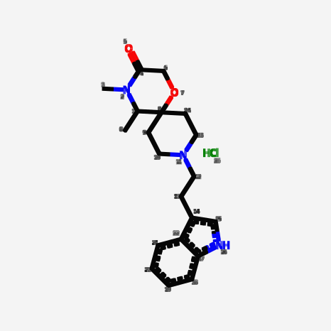 CC1N(C)C(=O)COC12CCN(CCc1c[nH]c3ccccc13)CC2.Cl